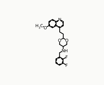 COc1ccc2nccc(CCC3OCC(NCc4cccc(F)c4F)CO3)c2c1